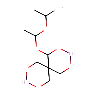 COC(C)OC(C)OC1OPOCC12COPOC2